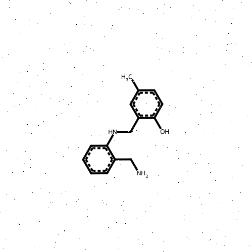 Cc1ccc(O)c(CNc2ccccc2CN)c1